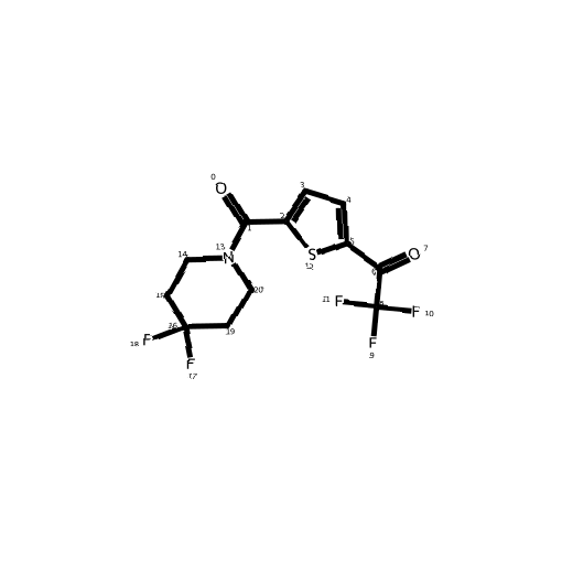 O=C(c1ccc(C(=O)C(F)(F)F)s1)N1CCC(F)(F)CC1